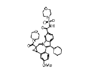 COc1ccc2c(c1)C1CC1(C(=O)N1CCOCC1)Cn1c-2c(C2CCCCC2)c2ccc(C(=O)NS(=O)(=O)N3CCOCC3)cc21